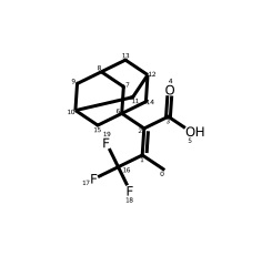 CC(=C(C(=O)O)C12CC3CC(CC(C3)C1)C2)C(F)(F)F